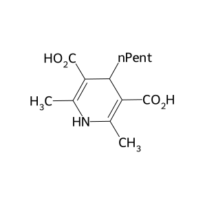 CCCCCC1C(C(=O)O)=C(C)NC(C)=C1C(=O)O